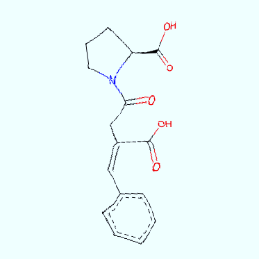 O=C(O)C(=Cc1ccccc1)CC(=O)N1CCC[C@H]1C(=O)O